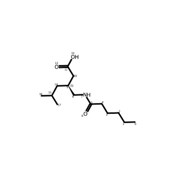 CCCCCC(=O)NC[C@H](CC(=O)O)CC(C)C